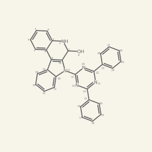 OC1Nc2ccccc2-c2c1n(-c1nc(-c3ccccc3)nc(-c3ccccc3)n1)c1ccccc21